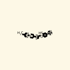 CCc1cnc(N2CCC(c3nc(COc4ccc(-n5cnnn5)cc4S)cs3)CC2)nc1